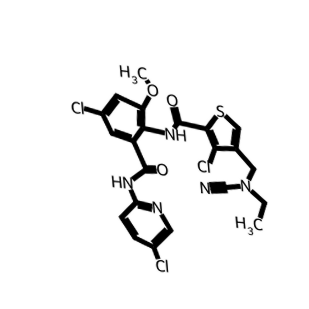 CCN(C#N)Cc1csc(C(=O)Nc2c(OC)cc(Cl)cc2C(=O)Nc2ccc(Cl)cn2)c1Cl